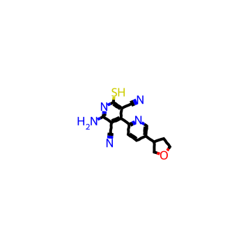 N#Cc1c(N)nc(S)c(C#N)c1-c1ccc(C2CCOC2)cn1